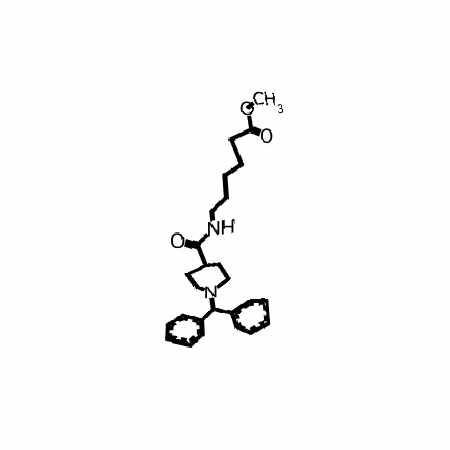 COC(=O)CCCCCNC(=O)C1CCN(C(c2ccccc2)c2ccccc2)CC1